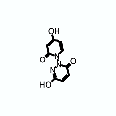 O=c1cc(O)ccn1-n1nc(O)ccc1=O